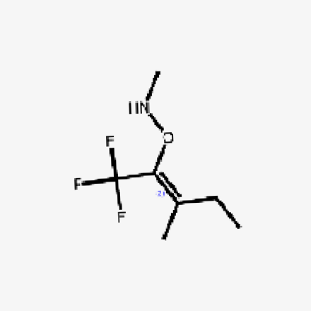 CC/C(C)=C(\ONC)C(F)(F)F